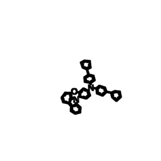 c1ccc(-c2ccc(N(c3ccc(-c4ccccc4)cc3)c3ccc4c(c3)Oc3cccc5c6ccccc6n-4c35)cc2)cc1